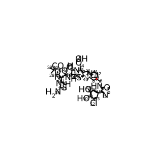 C/N=C(\C(=O)NCC12CC[N+](CC3=C(COO)N4C(=O)[C@@H](NC(=O)/C(=N\OC(C)(C)C(=O)O)c5csc(N)n5)[C@H]4S[C@H]3C)(CC1)CC2)c1cc(O)c(O)c(Cl)c1